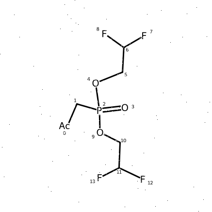 CC(=O)CP(=O)(OCC(F)F)OCC(F)F